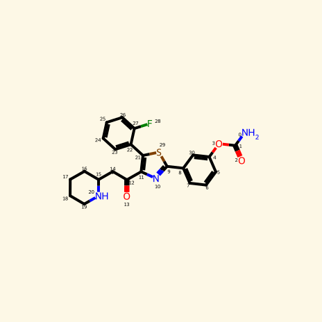 NC(=O)Oc1cccc(-c2nc(C(=O)[CH]C3CCCCN3)c(-c3ccccc3F)s2)c1